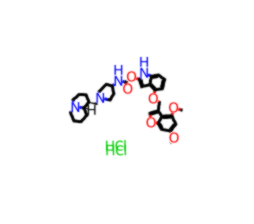 COc1cc(OC)c2c(COc3cccc4[nH]c(OC(=O)NC5CCN(C[C@@H]6CCCN7CCCC[C@H]67)CC5)cc34)coc2c1.Cl.Cl